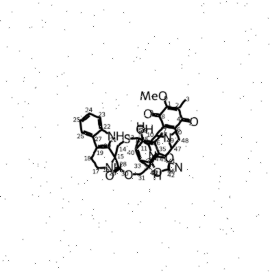 COC1=C(C)C(=O)C2=C(C1=O)C1C3[C@@H]4SC[C@]5(NCCc6c5[nH]c5ccccc65)C(=O)OC[C@@H](c5c6c(c(C)c(O)c54)OCO6)N3[C@@H](C#N)C(C2)N1C